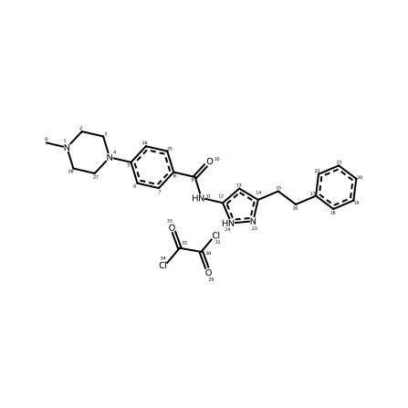 CN1CCN(c2ccc(C(=O)Nc3cc(CCc4ccccc4)n[nH]3)cc2)CC1.O=C(Cl)C(=O)Cl